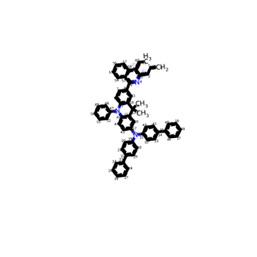 C=C/C=c1/nc(-c2ccc3c(c2)C(C)(C)c2cc(N(c4ccc(-c5ccccc5)cc4)c4ccc(-c5ccccc5)cc4)ccc2N3c2ccccc2)c2ccccc2/c1=C/C